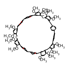 COc1cc(OC)c2cc1Cc1cc(c(OC)cc1OC)-c1ccc(cc1)-c1ccc(cc1)-c1cc(c(OC)cc1OC)Cc1cc(c(OC)cc1OC)-c1ccc(cc1)-c1ccc(cc1)-c1cc(c(OC)cc1OC)Cc1cc(c(OC)cc1OC)-c1ccc(cc1)-c1ccc-2cc1